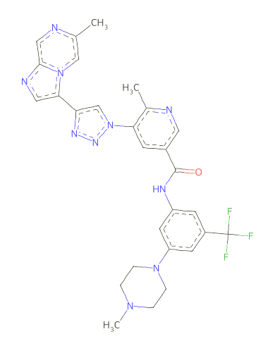 Cc1cn2c(-c3cn(-c4cc(C(=O)Nc5cc(N6CCN(C)CC6)cc(C(F)(F)F)c5)cnc4C)nn3)cnc2cn1